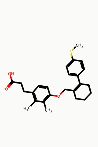 CSc1ccc(C2=C(COc3ccc(CCC(=O)O)c(C)c3C)CCCC2)cc1